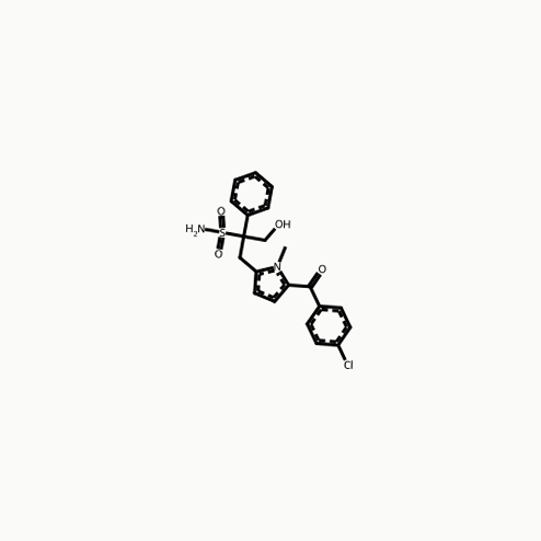 Cn1c(CC(CO)(c2ccccc2)S(N)(=O)=O)ccc1C(=O)c1ccc(Cl)cc1